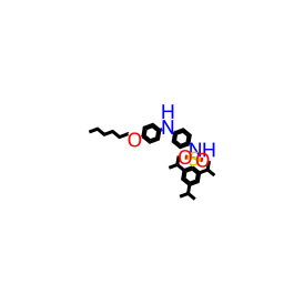 CCCCCCOc1ccc(Nc2ccc(NS(=O)(=O)c3c(C(C)C)cc(C(C)C)cc3C(C)C)cc2)cc1